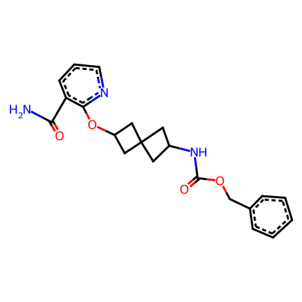 NC(=O)c1cccnc1OC1CC2(CC(NC(=O)OCc3ccccc3)C2)C1